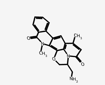 Cc1cc(=O)n2c3c(c4c(cc13)c1ccccc1c(=O)n4C)OCC2CN